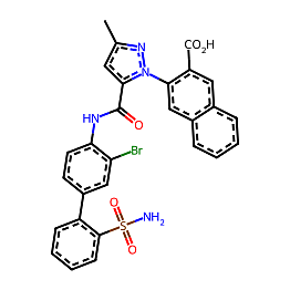 Cc1cc(C(=O)Nc2ccc(-c3ccccc3S(N)(=O)=O)cc2Br)n(-c2cc3ccccc3cc2C(=O)O)n1